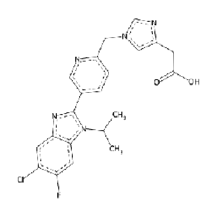 CC(C)n1c(-c2ccc(Cn3cnc(CC(=O)O)c3)nc2)nc2cc(Cl)c(F)cc21